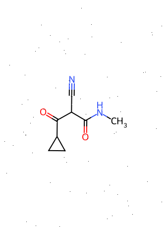 CNC(=O)C(C#N)C(=O)C1CC1